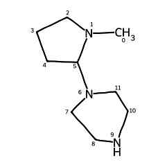 CN1CCCC1N1CCNCC1